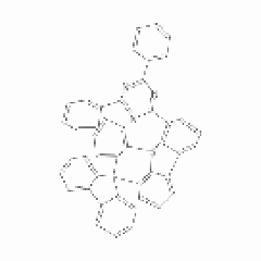 c1ccc(-c2nc(-c3ccccc3)nc(-c3cccc4c3B3c5ccccc5C5(c6ccccc6-c6ccccc65)c5cccc-4c53)n2)cc1